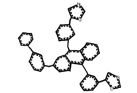 c1ccc(-c2cccc(-c3ccc4c(-c5cccc(-c6cnco6)c5)c5ccccc5c(-c5cccc(-c6cnco6)c5)c4c3)c2)cc1